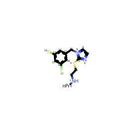 CCCNCCSc1nccn1Cc1cc(F)cc(F)c1